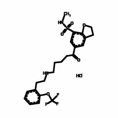 CNS(=O)(=O)c1cc(C(=O)CCCCNCCc2ccccc2OC(F)(F)F)cc2c1OCC2.Cl